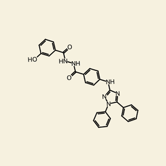 O=C(NNC(=O)c1cccc(O)c1)c1ccc(Nc2nc(-c3ccccc3)n(-c3ccccc3)n2)cc1